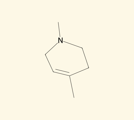 CC1=CCN(C)CC1